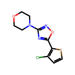 Clc1ccsc1-c1nc(N2CCOCC2)no1